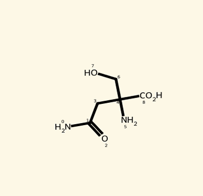 NC(=O)CC(N)(CO)C(=O)O